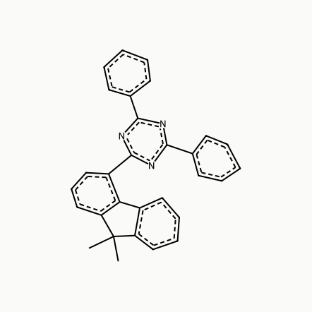 CC1(C)c2ccccc2-c2c(-c3nc(-c4ccccc4)nc(-c4ccccc4)n3)cccc21